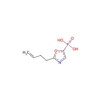 C=CCCc1ncc(P(=O)(O)O)o1